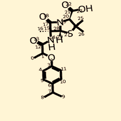 CC(Oc1ccc(C(C)C)cc1)C(=O)N[C@@]1(C)C(=O)N2[C@@H](C(=O)O)C(C)(C)S[C@@H]21